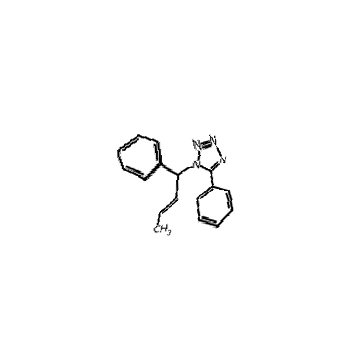 CC=CC(c1ccccc1)n1nnnc1-c1ccccc1